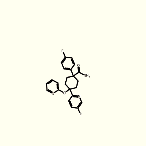 NC(=O)C1(c2ccc(F)cc2)CCC(Oc2ccccn2)(c2ccc(F)cn2)CC1